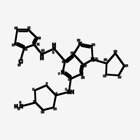 NC1CCC(Nc2nc(NNc3ccccc3Cl)c3ncn(C4CCCC4)c3n2)CC1